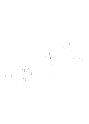 CON=C(C(=O)N[C@@H]1C(=O)N2C(C(=O)O)=C(CSc3nc4ncc(C(=O)O)c(O)n4n3)CS[C@H]12)c1csc(N)n1